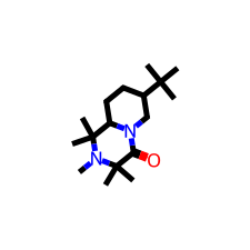 CN1C(C)(C)C(=O)N2CC(C(C)(C)C)CCC2C1(C)C